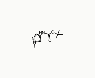 Cn1cc(NC(=O)OC(C)(C)C)cn1